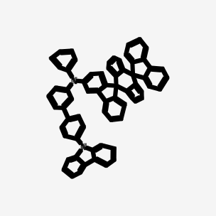 c1ccc(N(c2cccc(-c3ccc(-n4c5ccccc5c5ccccc54)cc3)c2)c2ccc3c(c2)-c2ccccc2C32c3ccccc3C3(c4ccccc4-c4ccccc43)c3ccccc32)cc1